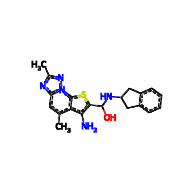 Cc1nc2cc(C)c3c(N)c(C(O)NC4Cc5ccccc5C4)sc3n2n1